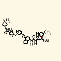 Cc1ccc(N/C(=C\C(=N)C(C)(C)C)NC(=O)Nc2ccc(OCc3ccnc(Nc4cnc(C(=O)NCC5CCN(C)CC5)cn4)c3)c3ccccc23)cc1